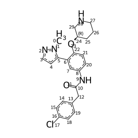 Cn1nccc1-c1cc(NC(=O)Cc2ccc(Cl)cc2)ccc1O[C@@H]1CCCNC1